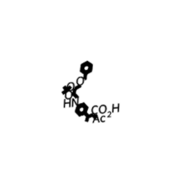 CC(=O)C(C(=O)O)C(C)c1ccc(NCC2OC(C)(C)OC2COCc2ccccc2)cc1